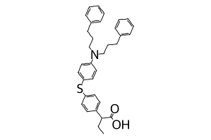 CCC(C(=O)O)c1ccc(Sc2ccc(N(CCCc3ccccc3)CCCc3ccccc3)cc2)cc1